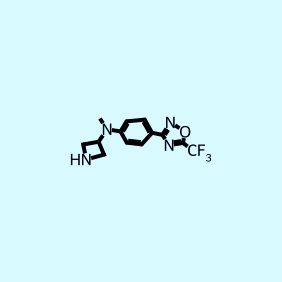 CN(c1ccc(-c2noc(C(F)(F)F)n2)cc1)C1CNC1